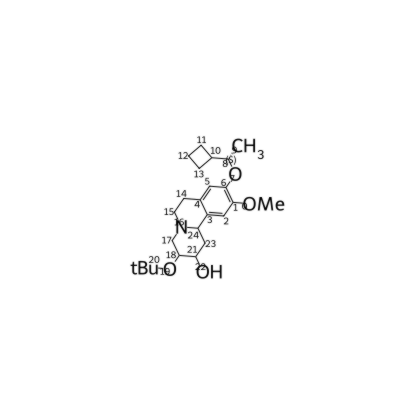 COc1cc2c(cc1O[C@@H](C)C1CCC1)CCN1CC(OC(C)(C)C)C(O)CC21